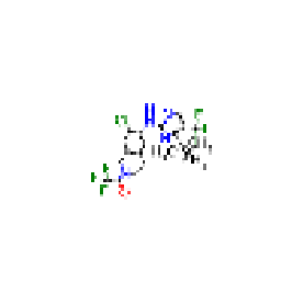 [CH3][Sn]([CH3])([CH3])[c]1nc(Nc2cc3c(cc2Cl)CN(C(=O)C(F)(F)F)CC3)ncc1C(F)(F)F